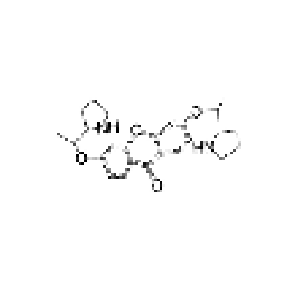 CC(Oc1ccc2c(=O)c3ccc(OC(C)C4CCCN4)cc3oc2c1)C1CCCN1